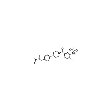 CC(=O)NCc1ccc(C2CCN(C(=O)c3ccc(C)c(NS(C)(=O)=O)c3)CC2)cc1